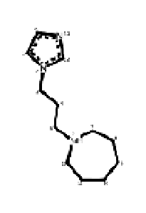 c1cn(CCC[SiH]2CCCCCC2)cn1